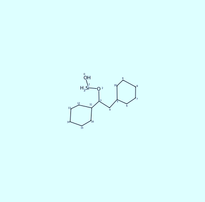 O[SiH2]OC(CC1CCCCC1)C1CCCCC1